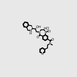 CCN1CCN(C[C@@H](O)[C@@H]2Cc3ccccc3CN2)C(=O)c2ccc(C(=O)N(C)CCc3cccnc3)cc21.Cl